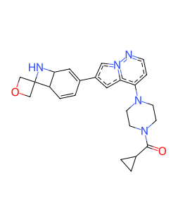 O=C(C1CC1)N1CCN(c2ccnn3cc(C4=CC5NC6(COC6)C5C=C4)cc23)CC1